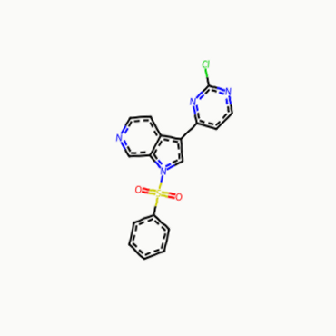 O=S(=O)(c1ccccc1)n1cc(-c2ccnc(Cl)n2)c2ccncc21